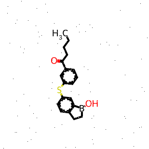 CCCCC(=O)c1cccc(Sc2ccc3c(c2)B(O)CC3)c1